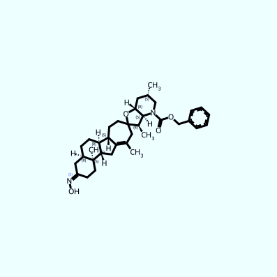 CC1=C2C[C@H]3[C@@H](CC[C@@H]4C/C(=N/O)CC[C@@]43C)[C@@H]2CCC2(C1)O[C@@H]1C[C@H](C)CN(C(=O)OCc3ccccc3)[C@H]1[C@H]2C